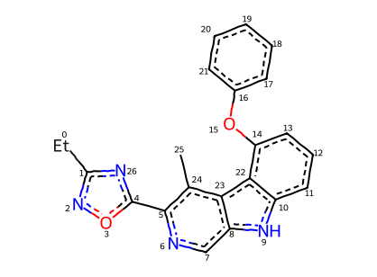 CCc1noc(-c2ncc3[nH]c4cccc(Oc5ccccc5)c4c3c2C)n1